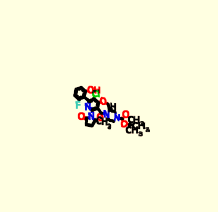 CC1CCC(=O)N1c1nc(-c2c(O)cccc2F)c(Cl)c2c1C(=O)N1CCN(C(=O)OC(C)(C)C)C[C@@H]1CO2